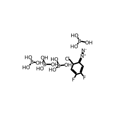 OB(O)O.OB(O)O.OB(O)O.OB(O)O.[N-]=[N+]=C1C=C(F)C(F)=CC1Cl